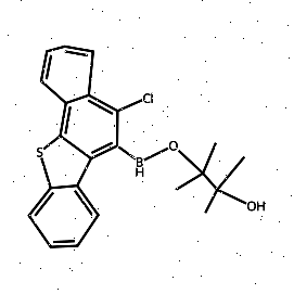 CC(C)(O)C(C)(C)OBc1c(Cl)c2ccccc2c2sc3ccccc3c12